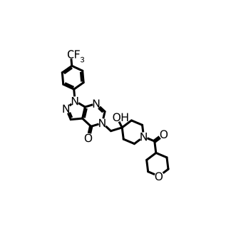 O=C(C1CCOCC1)N1CCC(O)(Cn2cnc3c(cnn3-c3ccc(C(F)(F)F)cc3)c2=O)CC1